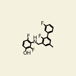 Cc1cc(CNc2c(F)ccc(O)c2F)c(F)c(-c2cccc(F)c2)c1